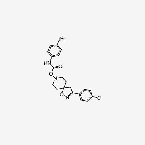 CC(C)c1ccc(NC(=O)ON2CCC3(CC2)CC(c2ccc(Cl)cc2)=NO3)cc1